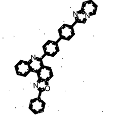 c1ccc(-c2nc3c(ccc4c(-c5ccc(-c6ccc(-c7cn8ccccc8n7)cc6)cc5)nc5ccccc5c43)o2)cc1